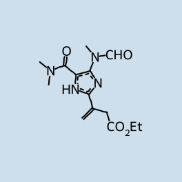 C=C(CC(=O)OCC)c1nc(N(C)C=O)c(C(=O)N(C)C)[nH]1